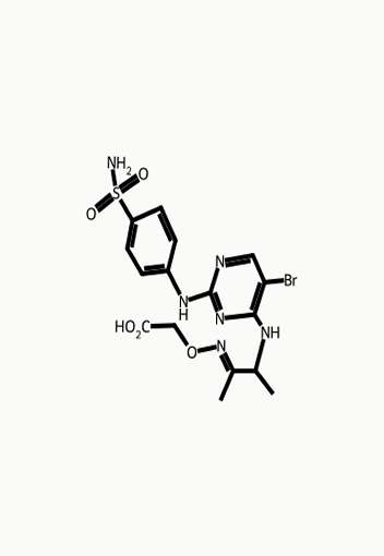 CC(=NOCC(=O)O)C(C)Nc1nc(Nc2ccc(S(N)(=O)=O)cc2)ncc1Br